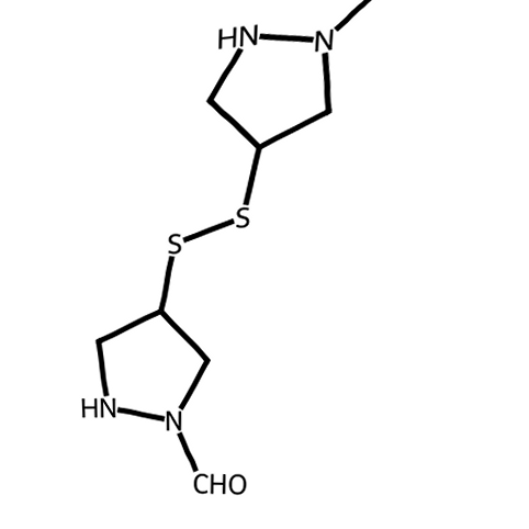 O=CN1CC(SSC2CNN(C=O)C2)CN1